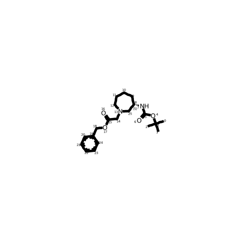 CC(C)(C)OC(=O)N[C@H]1CCCCN(CC(=O)OCc2ccccc2)C1